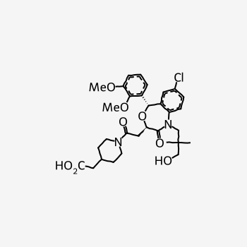 COc1cccc([C@H]2O[C@H](CC(=O)N3CCC(CC(=O)O)CC3)C(=O)N(CC(C)(C)CO)c3ccc(Cl)cc32)c1OC